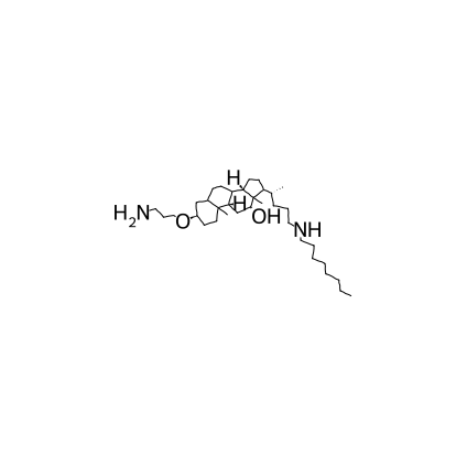 CCCCCCCCNCCC[C@@H](C)C1CC[C@H]2C3CCC4C[C@H](OCCCN)CCC4(C)[C@H]3C[C@H](O)C12C